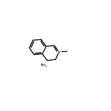 C[N+]1=Cc2ccccc2CC1.[BH4-]